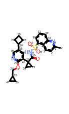 Cc1ccc2c(S(=O)(=O)NC(=O)C3(c4cc(C5CCC5)cnc4OCC4CC4)CC3)cccc2n1